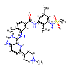 COc1c(NC(=O)c2ccc(C)c(Nc3ncnc4ccc(C5CCN(C)CC5)nc34)c2)cc(C(C)(C)C)cc1NS(C)(=O)=O